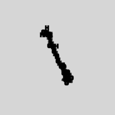 Cn1c(=O)c2c(nc(S(=O)(=O)CCc3cn(CCOCCOCCOCCNC(=O)CCCC[C@@H]4SCC5NC(=O)NC54)nn3)n2C)n(C)c1=O